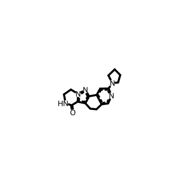 O=C1NCCn2nc3c(c21)CCc1cnc(N2CCCC2)cc1-3